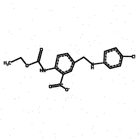 CCOC(=O)Nc1ccc(CNc2ccc(Cl)cc2)cc1[N+](=O)[O-]